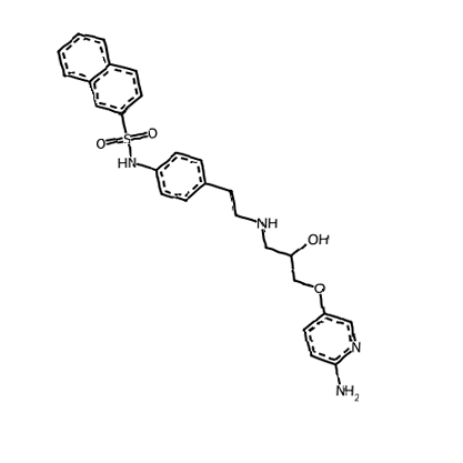 Nc1ccc(OCC(O)CNCCc2ccc(NS(=O)(=O)c3ccc4ccccc4c3)cc2)cn1